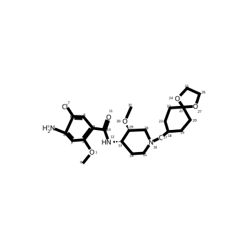 COc1cc(N)c(Cl)cc1C(=O)N[C@H]1CCN(CC2CCC3(CC2)OCCO3)C[C@H]1OC